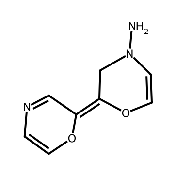 NN1C=COC(=C2C=NC=CO2)C1